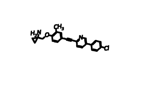 Cc1cc(C#Cc2ccc(-c3ccc(Cl)cc3)cn2)ccc1OCC1(N)CC1